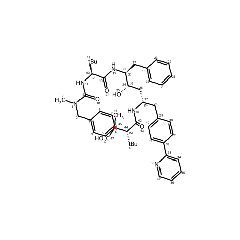 CN(Cc1ccccc1)C(=O)N[C@H](C(=O)N[C@@H](Cc1ccccc1)[C@@H](O)C[C@H](Cc1ccc(-c2ccccn2)cc1)NC(=O)[C@@H](N(C)C(=O)O)C(C)(C)C)C(C)(C)C